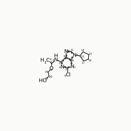 CC(Nc1nc(Cl)nc2c1ncn2C1CCCC1)OCCO